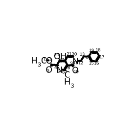 COC(=O)c1nc(C)c2c(=O)n(CCc3ccccc3)ccc2c1O